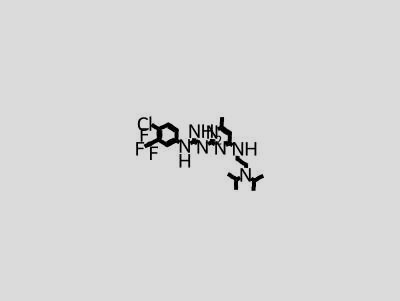 Cc1cc(NCCN(C(C)C)C(C)C)nc(/N=C(\N)Nc2ccc(Cl)c(C(F)(F)F)c2)n1